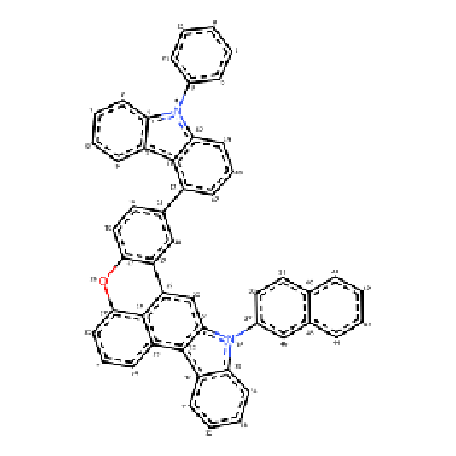 c1ccc(-n2c3ccccc3c3c(-c4ccc5c(c4)-c4cc6c(c7cccc(c47)O5)c4ccccc4n6-c4ccc5ccccc5c4)cccc32)cc1